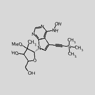 COC1(C)C(O)C(CO)O[C@H]1n1cc(C#C[Si](C)(C)C)c2c(NO)ncnc21